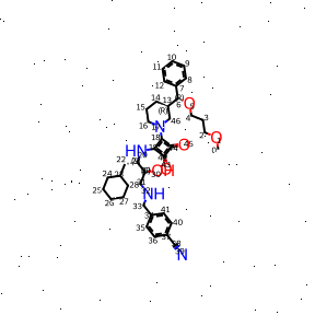 COCCCO[C@@H](c1ccccc1)[C@@H]1CCCN(c2c(N[C@@H](CC3CCCCC3)[C@@H](O)CNCc3ccc(C#N)cc3)c(=O)c2=O)C1